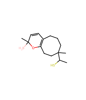 BC1(C)C=CC2=C(CCC(C)(C(C)S)CCC2)O1